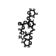 C=CC(=C=Cc1ccc(OC2CCCCO2)cc1)OC1CCCCO1.C=COC(C)=O